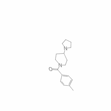 Cc1ccc(C(=O)N2CCC(N3CCCC3)CC2)cc1